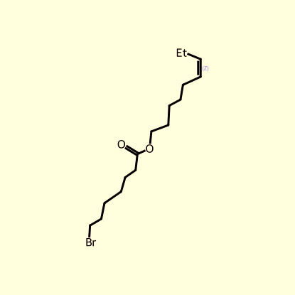 CC/C=C\CCCCCOC(=O)CCCCCCBr